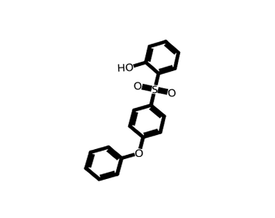 O=S(=O)(c1ccc(Oc2ccccc2)cc1)c1ccccc1O